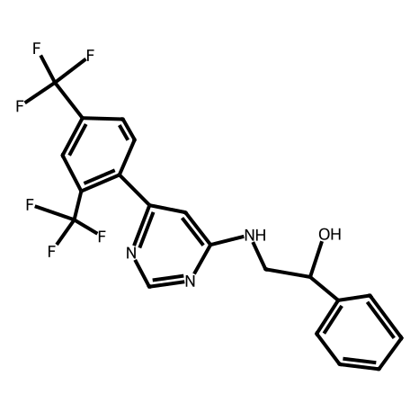 OC(CNc1cc(-c2ccc(C(F)(F)F)cc2C(F)(F)F)ncn1)c1ccccc1